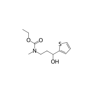 CCOC(=O)N(C)CCC(O)c1cccs1